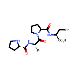 CC(C)C[C@H](NC(=O)[C@@H]1CCCN1C(=O)[C@@H](NC(=O)[C@@H]1CCCN1)C(C)C)C(=O)O